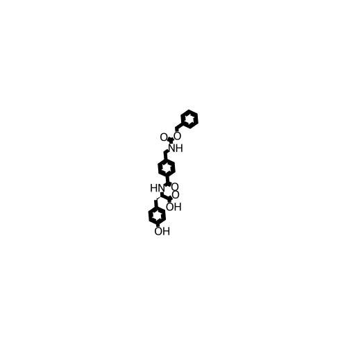 O=C(NCc1ccc(C(=O)N[C@@H](Cc2ccc(O)cc2)C(=O)O)cc1)OCc1ccccc1